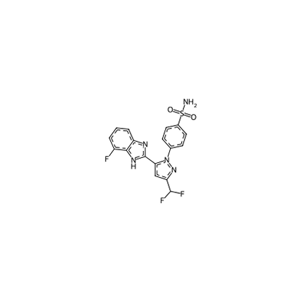 NS(=O)(=O)c1ccc(-n2nc(C(F)F)cc2-c2nc3cccc(F)c3[nH]2)cc1